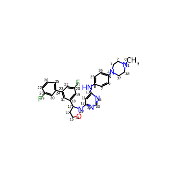 CN1CCN(c2ccc(Nc3cc(N4OCCC4c4cc(F)cc(-c5cccc(F)c5)c4)ncn3)cc2)CC1